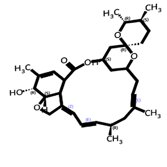 CC1=CC2C(=O)O[C@H]3CC(C/C=C(\C)C[C@@H](C)/C=C/C=C4\CO[C@@H](C42)[C@@H]1O)O[C@@]1(CC[C@H](C)[C@@H](C)O1)C3